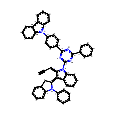 C#C/C=c1\c(=C2/Cc3ccccc3N2c2ccccc2)c2ccccc2n1-c1nc(-c2ccccc2)nc(-c2ccc(-n3c4ccccc4c4ccccc43)cc2)n1